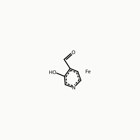 O=Cc1ccncc1O.[Fe]